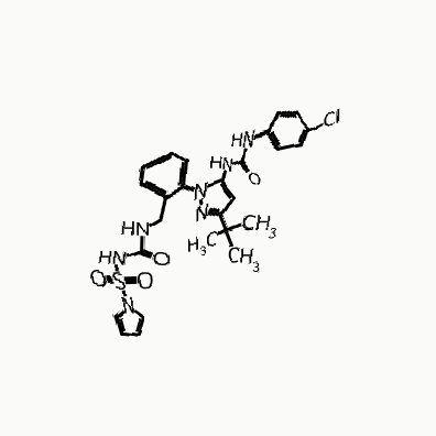 CC(C)(C)c1cc(NC(=O)Nc2ccc(Cl)cc2)n(-c2ccccc2CNC(=O)NS(=O)(=O)n2cccc2)n1